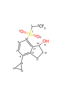 O=S(=O)(CC(F)(F)F)c1ccc(C2CC2)c2c1C(O)CC2